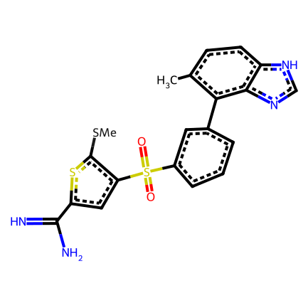 CSc1sc(C(=N)N)cc1S(=O)(=O)c1cccc(-c2c(C)ccc3[nH]cnc23)c1